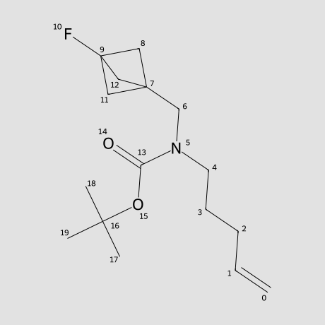 C=CCCCN(CC12CC(F)(C1)C2)C(=O)OC(C)(C)C